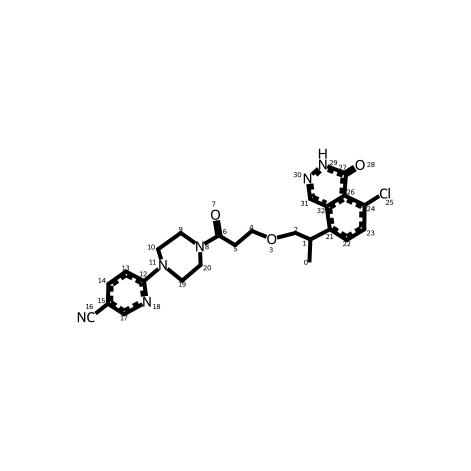 CC(COCCC(=O)N1CCN(c2ccc(C#N)cn2)CC1)c1ccc(Cl)c2c(=O)[nH]ncc12